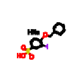 O=S(=O)(O)c1ccc(OCc2ccccc2)c(I)c1.[NaH]